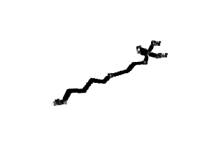 CCCCCCCCCCCCCOCCOP(=O)(O)C(C)(C)C